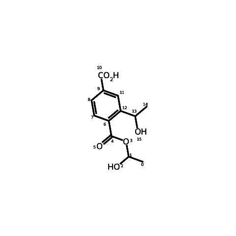 CC(O)OC(=O)c1ccc(C(=O)O)cc1C(C)O